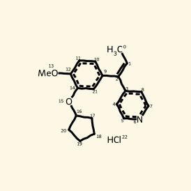 CC=C(c1ccncc1)c1ccc(OC)c(OC2CCCC2)c1.Cl